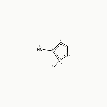 Cn1[c]ccc1C#N